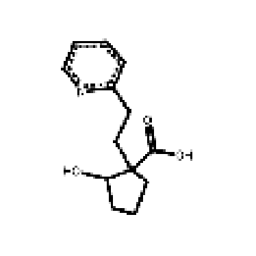 O=C(O)C1(CCc2ccccn2)CCCC1O